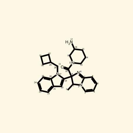 CC1N2C=CC=CC2=NC1(C(=O)N1CCCC(N)C1)c1cc2ccccc2n1CC1CCC1